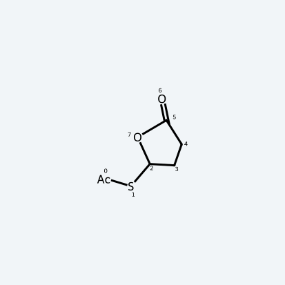 CC(=O)SC1CCC(=O)O1